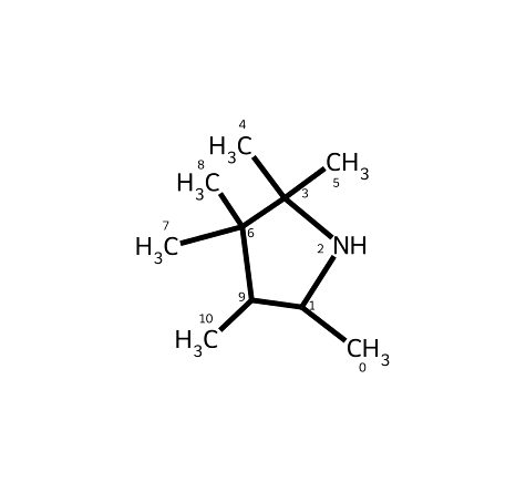 CC1NC(C)(C)C(C)(C)C1C